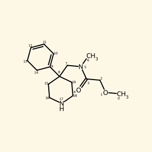 COCC(=O)N(C)CC1(C2=CC=CCC2)CCNCC1